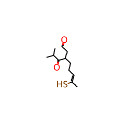 CC(S)=CCCC(CC=O)C(=O)C(C)C